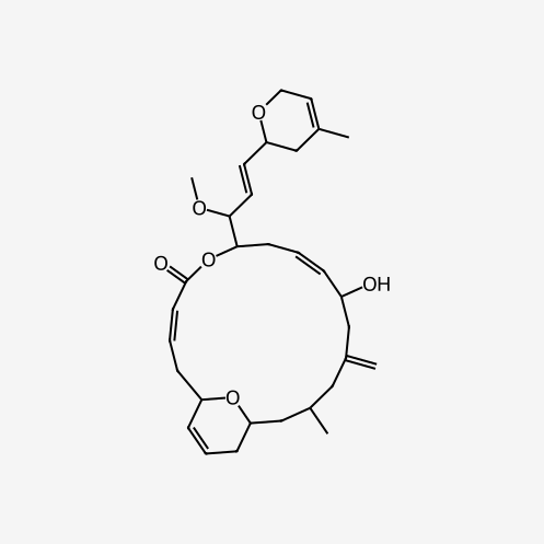 C=C1CC(O)/C=C\CC(C(/C=C/C2CC(C)=CCO2)OC)OC(=O)/C=C\CC2C=CCC(CC(C)C1)O2